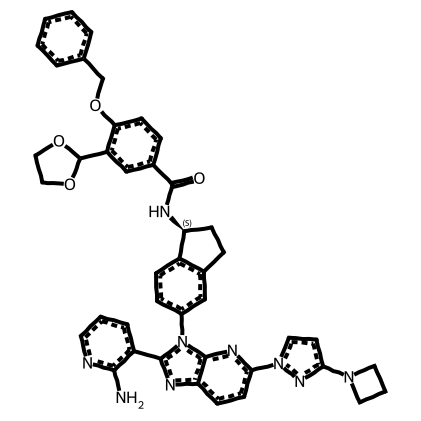 Nc1ncccc1-c1nc2ccc(-n3ccc(N4CCC4)n3)nc2n1-c1ccc2c(c1)CC[C@@H]2NC(=O)c1ccc(OCc2ccccc2)c(C2OCCO2)c1